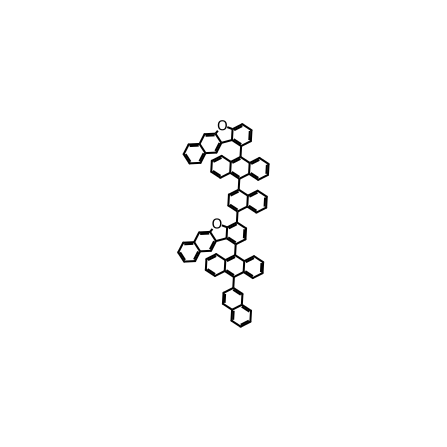 c1ccc2cc(-c3c4ccccc4c(-c4ccc(-c5ccc(-c6c7ccccc7c(-c7cccc8oc9cc%10ccccc%10cc9c78)c7ccccc67)c6ccccc56)c5oc6cc7ccccc7cc6c45)c4ccccc34)ccc2c1